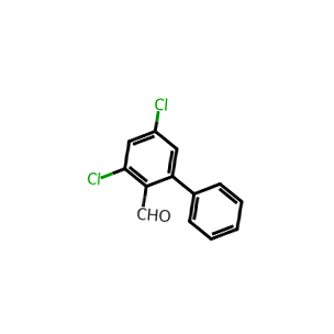 O=Cc1c(Cl)cc(Cl)cc1-c1ccccc1